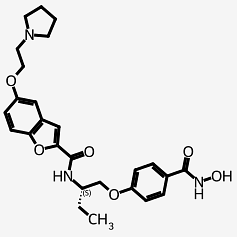 CC[C@@H](COc1ccc(C(=O)NO)cc1)NC(=O)c1cc2cc(OCCN3CCCC3)ccc2o1